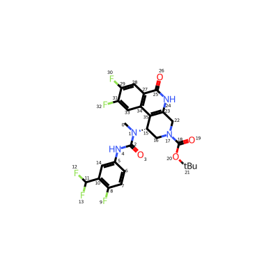 CN(C(=O)Nc1ccc(F)c(C(F)F)c1)[C@H]1CN(C(=O)OC(C)(C)C)Cc2[nH]c(=O)c3cc(F)c(F)cc3c21